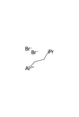 CC(C)C[CH2][Al+2].[Br-].[Br-]